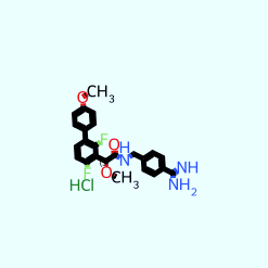 COc1ccc(-c2ccc(F)c([C@H](OC)C(=O)NCc3ccc(C(=N)N)cc3)c2F)cc1.Cl